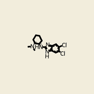 CN(C)[C@@H]1CCCC[C@H]1Nc1nc2cc(Cl)c(Cl)cc2[nH]1